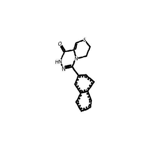 O=C1NN=C(c2ccc3ccccc3c2)N2CCSC=C12